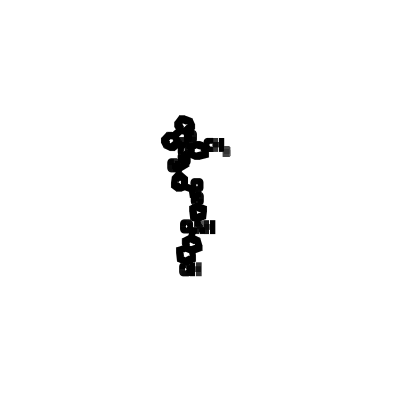 Cc1ccc(OCC(=O)c2cccc(C(=O)COc3ccc(NC(=O)c4ccc5cc(O)ccc5c4)cc3)c2)c(P2(=O)Oc3ccccc3-c3ccccc32)c1